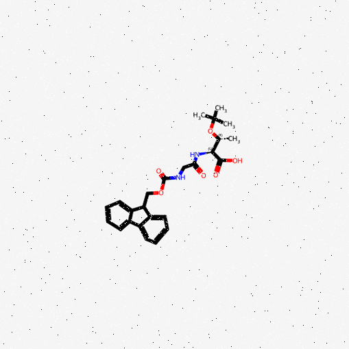 C[C@@H](OC(C)(C)C)[C@H](NC(=O)CNC(=O)OCC1c2ccccc2-c2ccccc21)C(=O)O